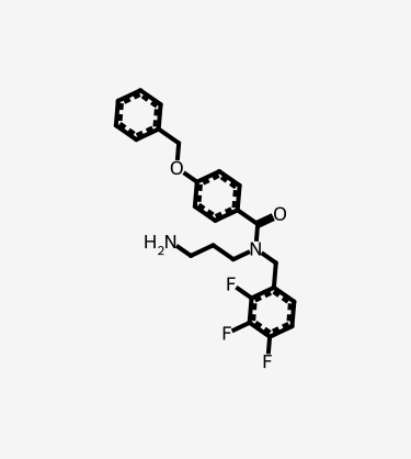 NCCCN(Cc1ccc(F)c(F)c1F)C(=O)c1ccc(OCc2ccccc2)cc1